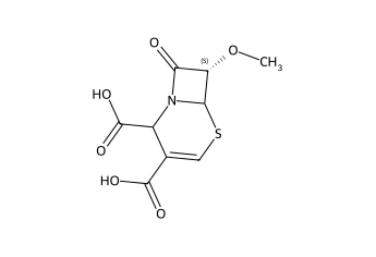 CO[C@H]1C(=O)N2C(C(=O)O)C(C(=O)O)=CSC12